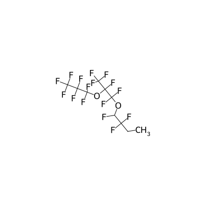 CCC(F)(F)C(F)OC(F)(F)C(F)(OC(F)(F)C(F)(F)C(F)(F)F)C(F)(F)F